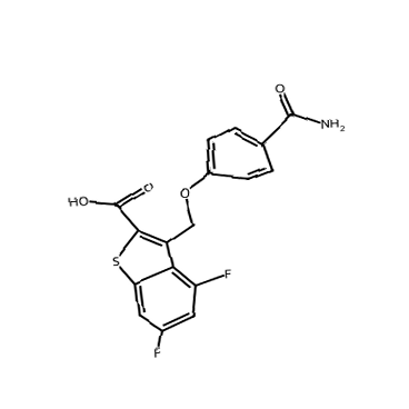 NC(=O)c1ccc(OCc2c(C(=O)O)sc3cc(F)cc(F)c23)cc1